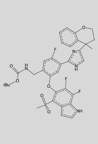 CC(C)(C)OC(=O)NCc1cc(F)c(-c2nc(C3(C)CCOc4ccccc43)c[nH]2)cc1Oc1c(F)c(F)c2[nH]ccc2c1S(C)(=O)=O